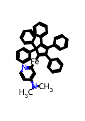 CN(C)c1ccn[c]([Fe][C]2=C(c3ccccc3)C(c3ccccc3)=C(c3ccccc3)C2(c2ccccc2)c2ccccc2)c1